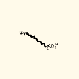 CC(C)CCCCCCCCCCCCN(C)CC(=O)O